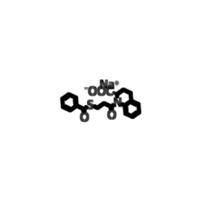 O=C(SCCC(=O)N1c2ccccc2CC[C@@H]1C(=O)[O-])c1ccccc1.[Na+]